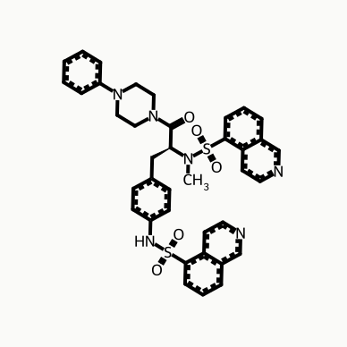 CN([C@@H](Cc1ccc(NS(=O)(=O)c2cccc3cnccc23)cc1)C(=O)N1CCN(c2ccccc2)CC1)S(=O)(=O)c1cccc2cnccc12